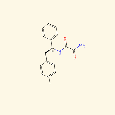 Cc1ccc(C[C@H](NC(=O)C(N)=O)c2ccccc2)cc1